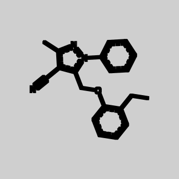 CCc1ccccc1OCc1c(C#N)c(C)nn1-c1ccccc1